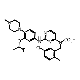 Cc1ccc(Cl)cc1CN(C(=O)O)c1ccnc(Nc2ccc(N3CCN(C)CC3)c(OC(F)F)c2)n1